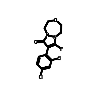 O=c1c(-c2ccc(Cl)cc2Cl)c(F)n2n1CCOCC2